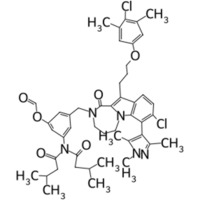 Cc1cc(OCCCc2c3n(c4c(-c5c(C)nn(C)c5C)c(Cl)ccc24)CCCN(Cc2cc(OC=O)cc(N(C(=O)CC(C)C)C(=O)CC(C)C)c2)C3=O)cc(C)c1Cl